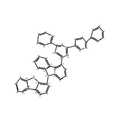 c1ccc(-c2ccc(-c3nc(-c4ccccc4)nc(-c4cccc5c4c4ccccc4n5-c4cccc5c4oc4ccccc45)n3)cc2)cc1